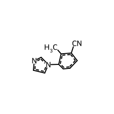 Cc1c(C#N)cccc1-n1ccnc1